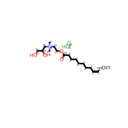 CCCCCCCC/C=C\CCCCCCCC(=O)OCC[N+](C)(C)CC(O)CO.Cl.[Cl-]